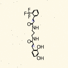 O=C(/C=C/c1ccc(O)cc1O)NCCCNC(=O)/C=C/c1ccccc1C(F)(F)F